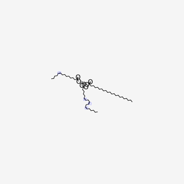 CCCC/C=C\CCCCCCCC(=O)OC[C@H](COC(=O)CCCCCCCCCCCCCCCCCCCCC)OC(=O)CCCC/C=C\C/C=C\C/C=C\CCCCC